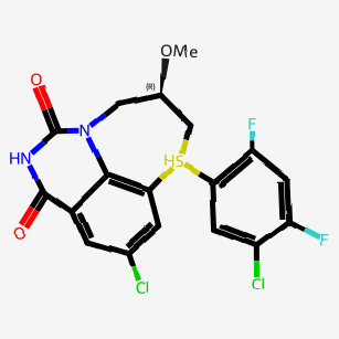 CO[C@@H]1Cn2c(=O)[nH]c(=O)c3cc(Cl)cc(c32)[SH](c2cc(Cl)c(F)cc2F)C1